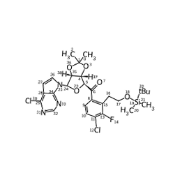 CC1(C)O[C@@H]2[C@@H](C(=O)c3ccc(Cl)c(F)c3CCO[Si](C)(C)C(C)(C)C)OC(n3ccc4c(Cl)ncnc43)[C@@H]2O1